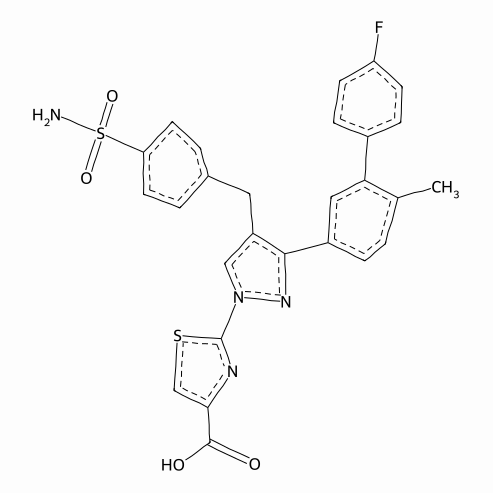 Cc1ccc(-c2nn(-c3nc(C(=O)O)cs3)cc2Cc2ccc(S(N)(=O)=O)cc2)cc1-c1ccc(F)cc1